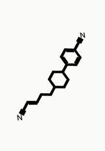 N#CC=CCCC1CCC(c2ccc(C#N)cc2)CC1